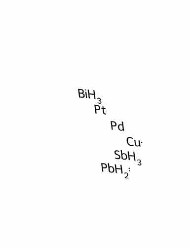 [BiH3].[Cu].[PbH2].[Pd].[Pt].[SbH3]